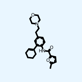 Cc1ccc(C(=O)Nc2ccc(CCN3CCOCC3)cc2C2=CCCCC2)o1